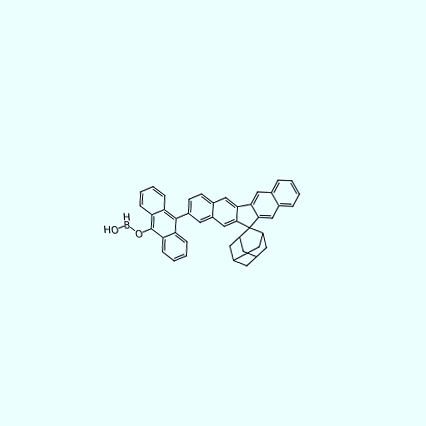 OBOc1c2ccccc2c(-c2ccc3cc4c(cc3c2)C2(c3cc5ccccc5cc3-4)C3CC4CC(C3)CC2C4)c2ccccc12